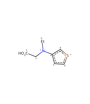 CCN(CC(=O)O)c1ccsc1